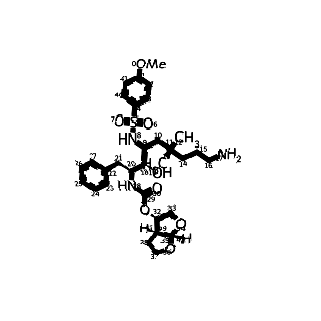 COc1ccc(S(=O)(=O)NC(CC(C)(C)CCCN)[C@H](O)[C@H](Cc2ccccc2)NC(=O)O[C@@H]2CO[C@@H]3OCC[C@@H]32)cc1